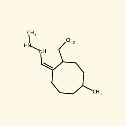 CCC1CCC(C)CCC/C1=C/NNC